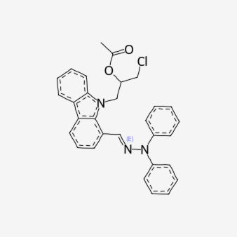 CC(=O)OC(CCl)Cn1c2ccccc2c2cccc(/C=N/N(c3ccccc3)c3ccccc3)c21